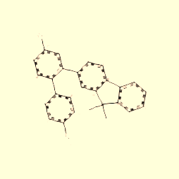 CC1(C)c2ccccc2-c2ccc(-c3cc(N)ccc3-c3ccc(N)cc3)cc21